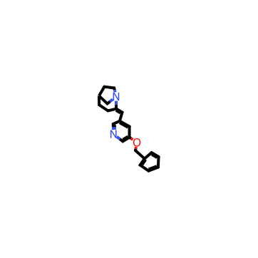 C(=C1/CCC2CCN1C2)/c1cncc(OCc2ccccc2)c1